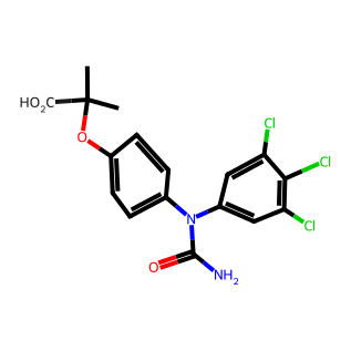 CC(C)(Oc1ccc(N(C(N)=O)c2cc(Cl)c(Cl)c(Cl)c2)cc1)C(=O)O